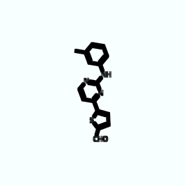 Cc1cccc(Nc2nccc(-c3ccc(C=O)s3)n2)c1